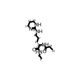 CCNC(=O)[C@H](CCCNC1=NCCCN1)NC(=O)CC